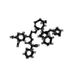 CN(CC(CCN1CCCNCC1c1nc2ccccc2n1Cc1ccco1)c1ccc(F)c(F)c1)C(=O)c1ccccc1